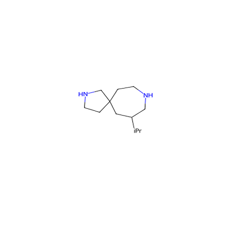 CC(C)C1CNCCC2(CCNC2)C1